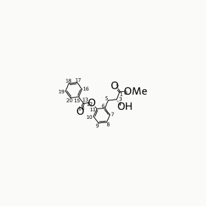 COC(=O)[C@H](O)Cc1ccccc1OC(=O)c1ccccc1